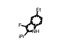 CCc1ccc2[nH]c(C(C)C)c(F)c2c1